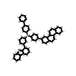 c1ccc(-c2ccc(N(c3ccc(-c4ccc5ccc6c7ccccc7ccc6c5c4)cc3)c3cccc(-c4cccc5c4sc4ccccc45)c3)cc2)cc1